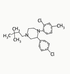 Cc1ccc(N2CCN(CCC(C)(C)C)CC2c2ccc(Cl)cc2)c(Cl)c1